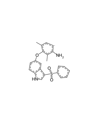 Cc1c[c]c(N)c(C)c1Oc1ccc2[nH]cc(S(=O)(=O)c3ccccc3)c2c1